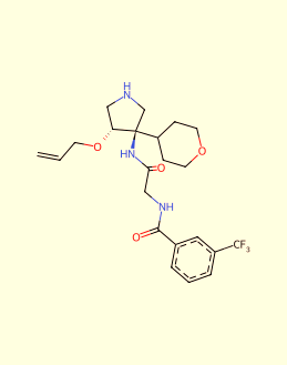 C=CCO[C@@H]1CNC[C@]1(NC(=O)CNC(=O)c1cccc(C(F)(F)F)c1)C1CCOCC1